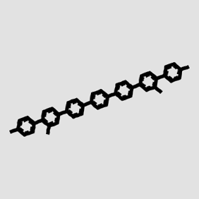 Cc1ccc(-c2ccc(-c3ccc(-c4ccc(-c5ccc(-c6ccc(-c7ccc(C)cc7)c(C)c6)cc5)cc4)cc3)cc2C)cc1